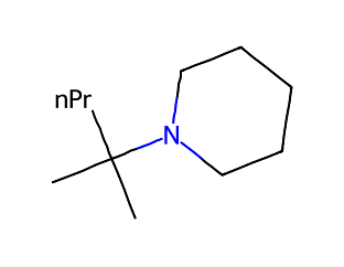 CCCC(C)(C)N1CCCCC1